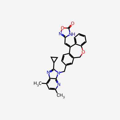 Cc1cc(C)c2nc(C3CC3)n(Cc3ccc4c(c3)COc3ccccc3C4=Cc3noc(=O)[nH]3)c2n1